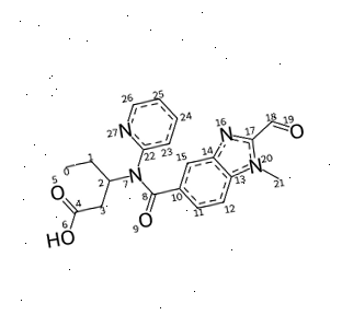 CCC(CC(=O)O)N(C(=O)c1ccc2c(c1)nc(C=O)n2C)c1ccccn1